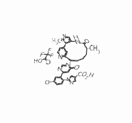 C[C@@H]1CCC[C@H](n2cnc(-c3cc(Cl)ccc3-n3cc(C(=O)O)cn3)cc2=O)c2cc(ccn2)-c2c(cnn2C)NC1=O.O=C(O)C(F)(F)F